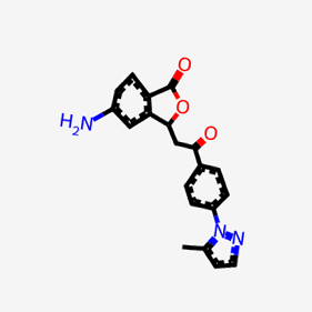 Cc1ccnn1-c1ccc(C(=O)CC2OC(=O)c3ccc(N)cc32)cc1